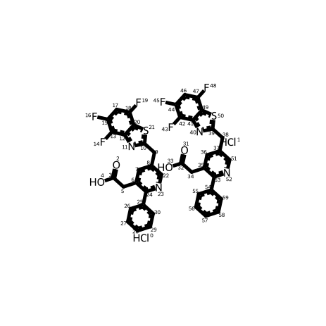 Cl.Cl.O=C(O)Cc1cc(Cc2nc3c(F)c(F)cc(F)c3s2)cnc1-c1ccccc1.O=C(O)Cc1cc(Cc2nc3c(F)c(F)cc(F)c3s2)cnc1-c1ccccc1